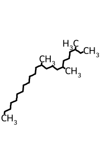 CCCCCCCCCCCCC(C)CCCC(C)CCCC(C)CC